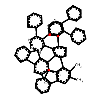 Cc1cc2c(c(-c3ccc(-c4nnnc(-c5ccccc5)c4-c4ccccc4)c(-c4nnnc(-c5ccccc5)c4-c4ccccc4)c3-c3c(C)c(C)cc4c3Cc3ccccc3-4)c1C)Cc1ccccc1-2